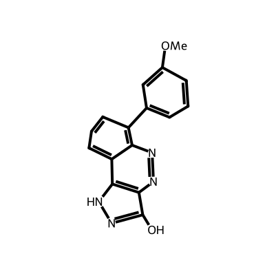 COc1cccc(-c2cccc3c2nnc2c(O)n[nH]c23)c1